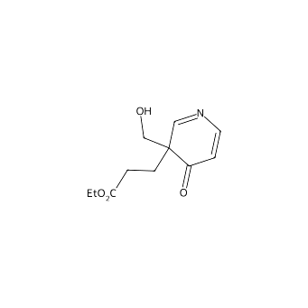 CCOC(=O)CCC1(CO)C=NC=CC1=O